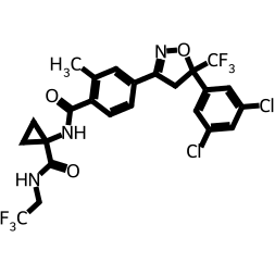 Cc1cc(C2=NOC(c3cc(Cl)cc(Cl)c3)(C(F)(F)F)C2)ccc1C(=O)NC1(C(=O)NCC(F)(F)F)CC1